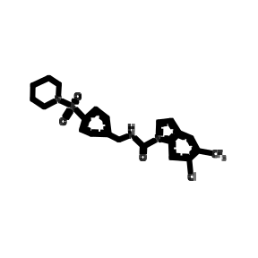 O=C(NCc1ccc(S(=O)(=O)N2CCCCC2)cc1)n1ccc2cc(C(F)(F)F)c(Cl)cc21